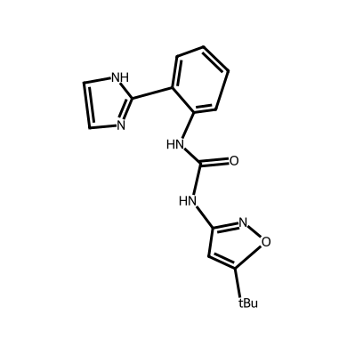 CC(C)(C)c1cc(NC(=O)Nc2ccccc2-c2ncc[nH]2)no1